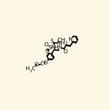 CNC(=S)N=S(=O)=O.COCCOc1ccc(CCNC(=O)C=Cc2ccccn2)cc1